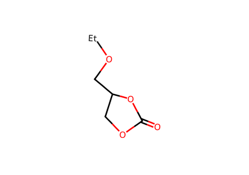 [CH2]COCC1COC(=O)O1